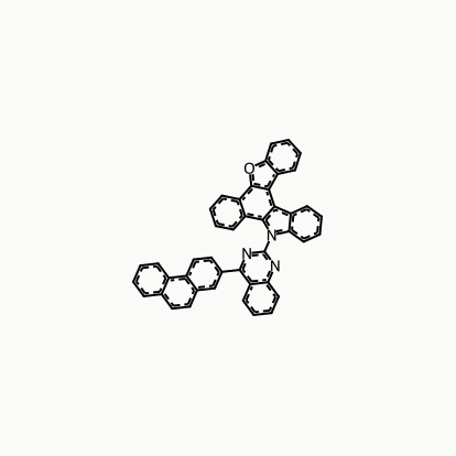 c1ccc2c(c1)ccc1cc(-c3nc(-n4c5ccccc5c5c6c7ccccc7oc6c6ccccc6c54)nc4ccccc34)ccc12